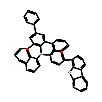 Fc1cc(-c2ccccc2)cc(-c2ccccc2)c1N(c1ccc(-c2cccc3c2oc2ccccc23)cc1)c1cccc2ccccc12